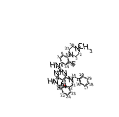 CN1CCN(c2ccc(Nc3nc(N(Cc4ccccc4)Cc4ccccc4)c4nc[nH]c4n3)cc2F)CC1